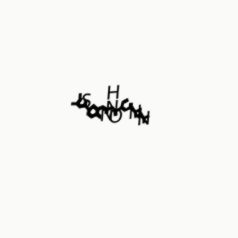 C=C/C(=C\C(=C)N1CC(N(C)C)C1)C(=O)Nc1cc2cc(-c3cc(C)c(C)s3)ccc2cn1